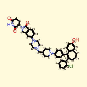 O=C1CC[C@H](N2Cc3cc(N4CCN(CC5CCN(c6ccc(C7=C(c8ccccc8Cl)CCCc8cc(O)ccc87)cc6)CC5)CC4)ccc3C2=O)C(=O)N1